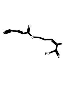 CC(=CCCOC(=O)C=CC#N)C(=O)O